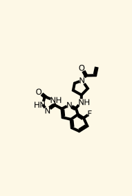 C=CC(=O)N1CCC(Nc2nc(-c3n[nH]c(=O)[nH]3)cc3cccc(F)c23)C1